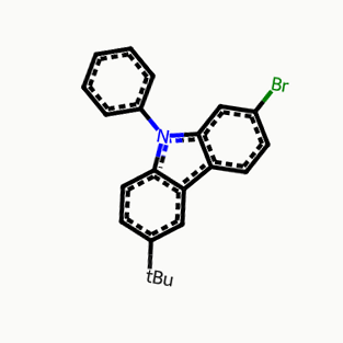 CC(C)(C)c1ccc2c(c1)c1ccc(Br)cc1n2-c1ccccc1